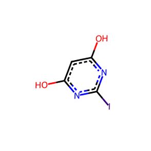 Oc1cc(O)nc(I)n1